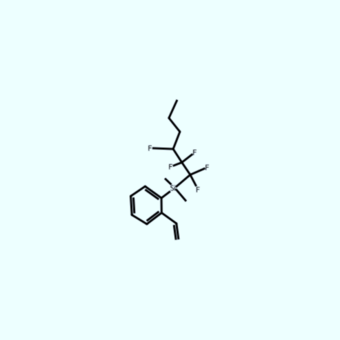 C=Cc1ccccc1[Si](C)(C)C(F)(F)C(F)(F)C(F)CCC